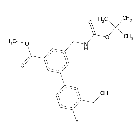 COC(=O)c1cc(CNC(=O)OC(C)(C)C)cc(-c2ccc(F)c(CO)c2)c1